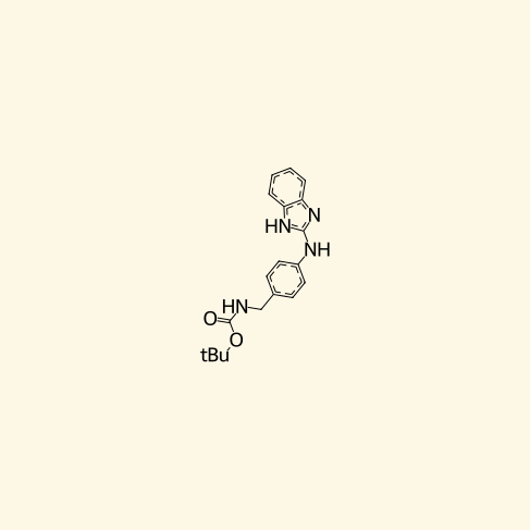 CC(C)(C)OC(=O)NCc1ccc(Nc2nc3ccccc3[nH]2)cc1